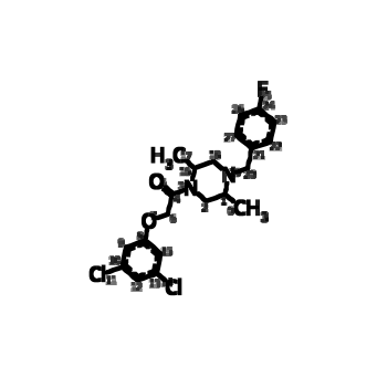 CC1CN(C(=O)COc2cc(Cl)cc(Cl)c2)C(C)CN1Cc1ccc(F)cc1